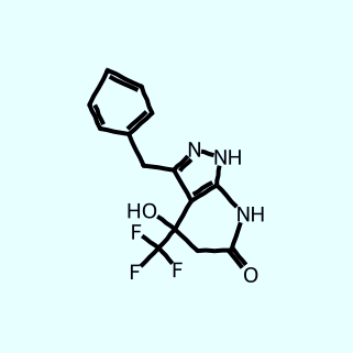 O=C1CC(O)(C(F)(F)F)c2c(Cc3ccccc3)n[nH]c2N1